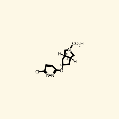 O=C(O)N1C[C@H]2C[C@H](Oc3ccc(Cl)nn3)C[C@H]2C1